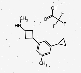 CNC1CC(c2cc(C)cc(C3CC3)c2)C1.O=C(O)C(F)(F)F